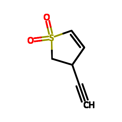 C#CC1C=CS(=O)(=O)C1